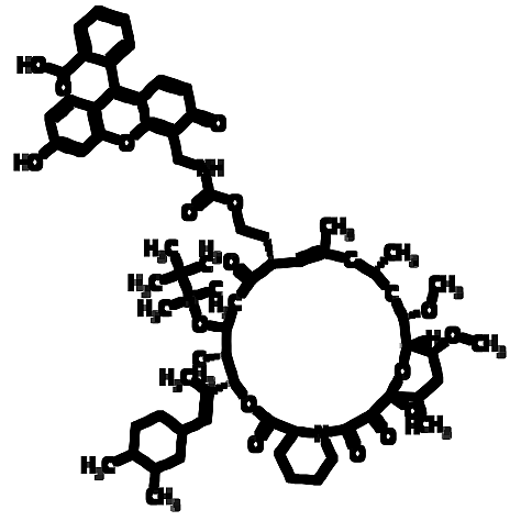 CO[C@H]1CC(C)C2(O)O[C@@H]1[C@@H](OC)C[C@@H](C)C/C(C)=C/[C@@H](CCOC(=O)NCc1c3oc4cc(O)ccc4c(-c4ccccc4C(=O)O)c-3ccc1=O)C(=O)CC(O[Si](C)(C)C(C)(C)C)[C@@H](C)[C@@H](/C(C)=C/C1CCC(C)C(C)C1)OC(=O)C1CCCCN1C(=O)C2=O